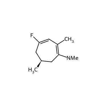 CNC1=C(C)C=C(F)C[C@H](C)C1